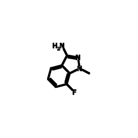 Cn1nc(N)c2cccc(F)c21